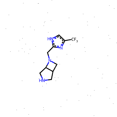 FC(F)(F)c1c[nH]c(CN2CC3CNCC32)n1